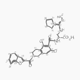 N#C/N=C(/NC[C@H](NC(=O)c1c(Cl)cc2c(c1Cl)CCN(C(=O)c1cc3ccccc3o1)C2)C(=O)O)N1CCCC1